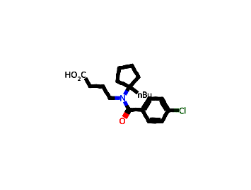 CCCCC1(N(CCCC(=O)O)C(=O)c2ccc(Cl)cc2)CCCC1